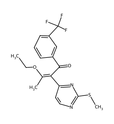 CCOC(C)=C(C(=O)c1cccc(C(F)(F)F)c1)c1ccnc(SC)n1